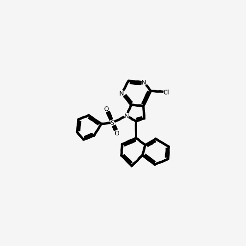 O=S(=O)(c1ccccc1)n1c(-c2cccc3ccccc23)cc2c(Cl)ncnc21